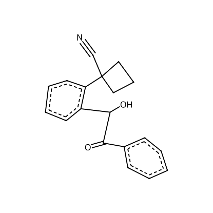 N#CC1(c2ccccc2C(O)C(=O)c2ccccc2)CCC1